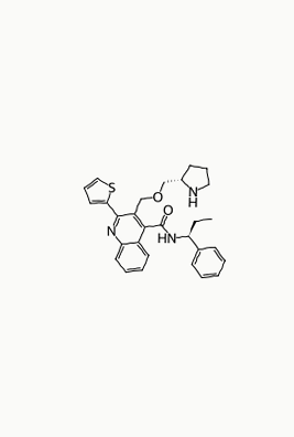 CC[C@H](NC(=O)c1c(COC[C@@H]2CCCN2)c(-c2cccs2)nc2ccccc12)c1ccccc1